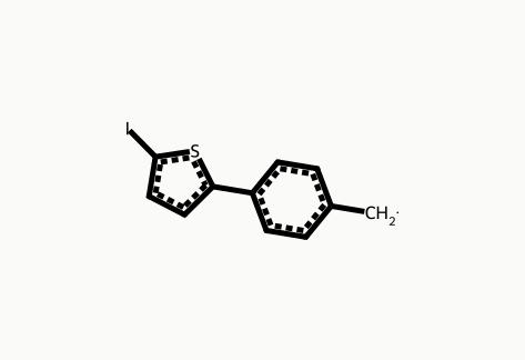 [CH2]c1ccc(-c2ccc(I)s2)cc1